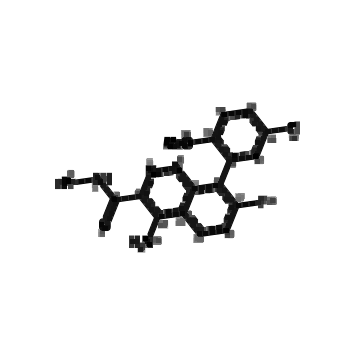 CCCNC(=O)c1nnc2c(-c3cc(Cl)ccc3OC)c(F)ccc2c1N